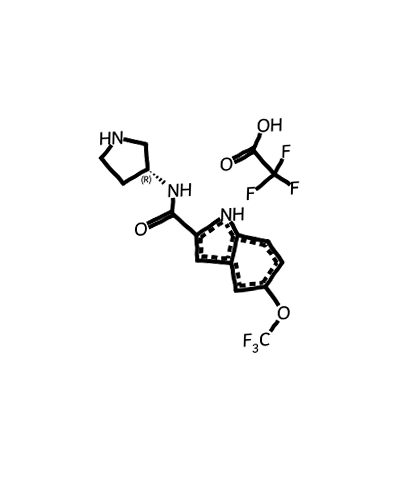 O=C(N[C@@H]1CCNC1)c1cc2cc(OC(F)(F)F)ccc2[nH]1.O=C(O)C(F)(F)F